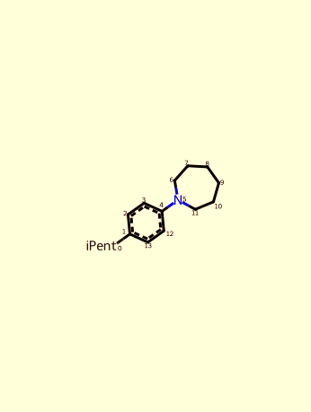 CCCC(C)c1ccc(N2CCCCCC2)cc1